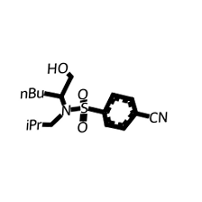 [CH2]CCCC(CO)N(CC(C)C)S(=O)(=O)c1ccc(C#N)cc1